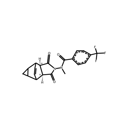 CN(C(=O)c1ccc(C(F)(F)F)cc1)N1C(=O)[C@@H]2C3C=CC(C4CC43)[C@@H]2C1=O